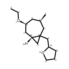 CCO[C@H]1C[C@@H](C)CC2(CC3CCCO3)C[C@@H]2C1